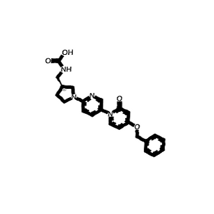 O=C(O)NC[C@@H]1CCN(c2ccc(-n3ccc(OCc4ccccc4)cc3=O)cn2)C1